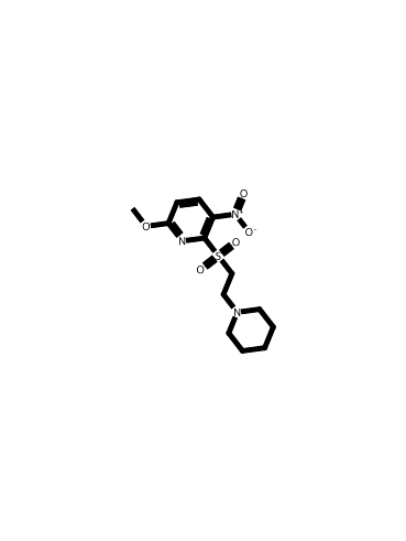 COc1ccc([N+](=O)[O-])c(S(=O)(=O)CCN2CCCCC2)n1